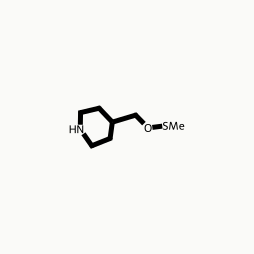 CSOCC1CCNCC1